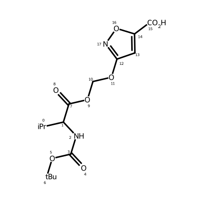 CC(C)C(NC(=O)OC(C)(C)C)C(=O)OCOc1cc(C(=O)O)on1